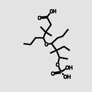 CCCC(OC(CCC)C(C)(CC)C(C)OP(=O)(O)O)C(C)(C)CC(=O)O